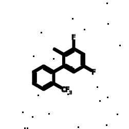 Cc1c(F)cc(F)cc1-c1ccccc1C(F)(F)F